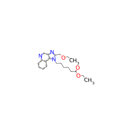 CCOCc1nc2cnc3ccccc3c2n1CCCCCC(=O)OCC